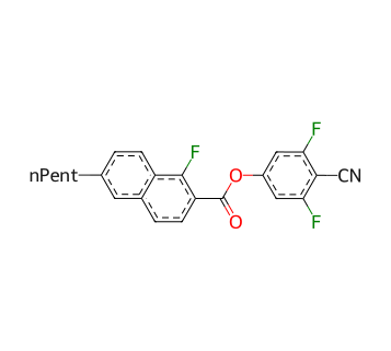 CCCCCc1ccc2c(F)c(C(=O)Oc3cc(F)c(C#N)c(F)c3)ccc2c1